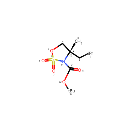 CC(C)C[C@@]1(C)COS(=O)(=O)N1C(=O)OC(C)(C)C